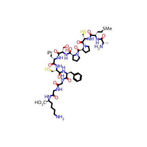 CSCC[C@H](NC(=O)[C@H](C)N)C(=O)N[C@@H](CS)C(=O)N1CCC[C@H]1C(=O)N1CCC[C@H]1C(=O)N[C@@H](CO)C(=O)N[C@@H](CC(C)C)C(=O)N[C@@H](CS)C(=O)N[C@@H](Cc1ccccc1)C(=O)NCC(=O)NCC(=O)N[C@@H](CCCCN)C(=O)O